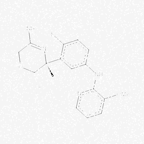 COc1cccnc1Nc1ccc(F)c([C@@]2(C)N=C(N)CO[C@H]2C(F)(F)F)c1